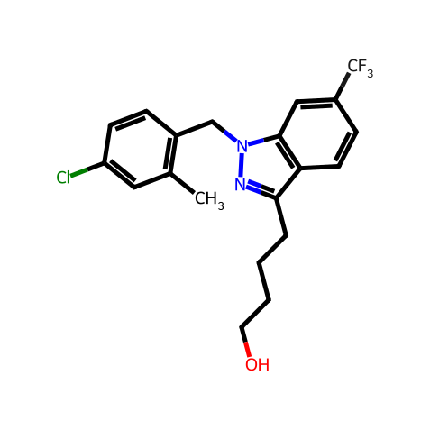 Cc1cc(Cl)ccc1Cn1nc(CCCCO)c2ccc(C(F)(F)F)cc21